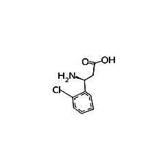 N[C@@H](CC(=O)O)c1ccccc1Cl